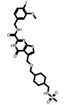 COc1cc(CNC(=O)c2nc3scc(COCC4CCC(CNS(C)(=O)=O)CC4)c3c(=O)[nH]2)ccc1F